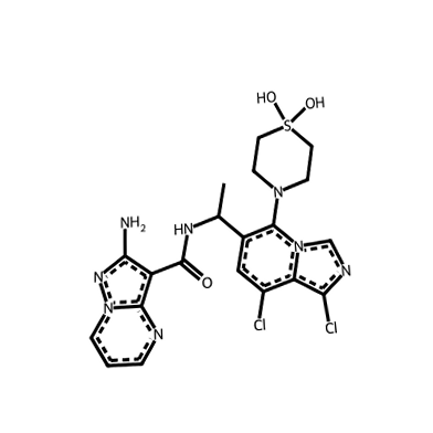 CC(NC(=O)c1c(N)nn2cccnc12)c1cc(Cl)c2c(Cl)ncn2c1N1CCS(O)(O)CC1